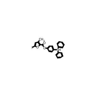 Cc1cc(I)oc1C(=O)Oc1ccc([SH](c2ccccc2)c2ccccc2)cc1